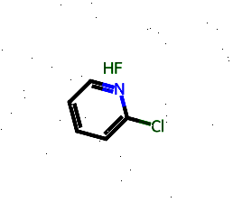 Clc1ccccn1.F